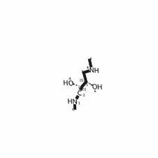 CNC[C@H](O)[C@@H](O)CNC